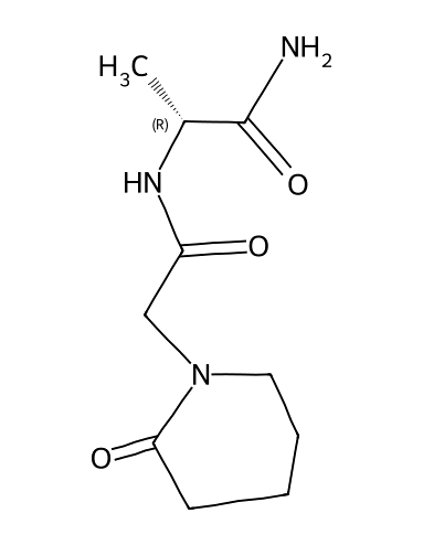 C[C@@H](NC(=O)CN1CCCCC1=O)C(N)=O